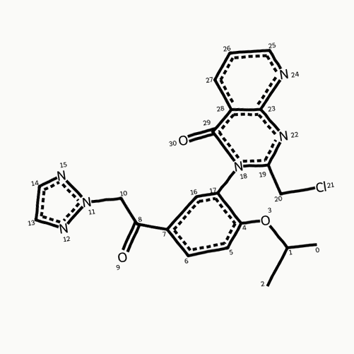 CC(C)Oc1ccc(C(=O)Cn2nccn2)cc1-n1c(CCl)nc2ncccc2c1=O